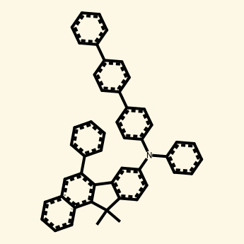 CC1(C)c2ccc(N(c3ccccc3)c3ccc(-c4ccc(-c5ccccc5)cc4)cc3)cc2-c2c(-c3ccccc3)cc3ccccc3c21